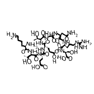 C[C@@H](O)[C@H](NC(=O)[C@H](CCC(=O)O)NC(=O)[C@H](CCC(=O)O)NC(=O)[C@@H](NC(=O)[C@@H](N)CCCCN)[C@@H](C)O)C(=O)NCC(=O)N[C@@H](CC(N)=O)C(=O)N[C@@H](CCCNC(=N)N)C(=O)N[C@@H](CO)C(=O)O